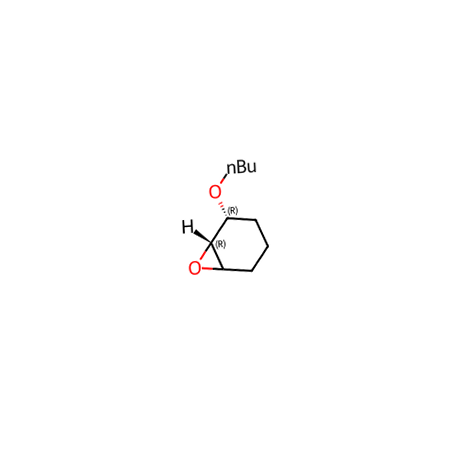 CCCCO[C@@H]1CCCC2O[C@@H]21